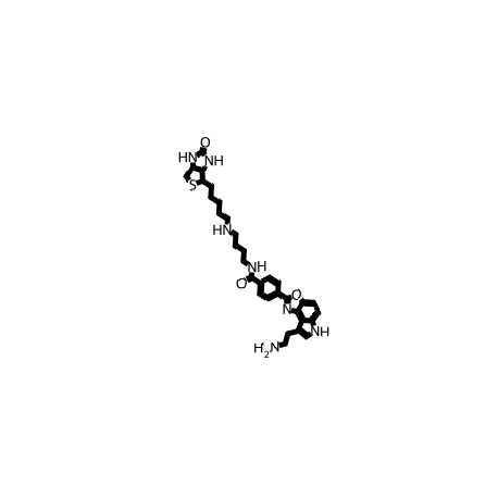 NCCc1c[nH]c2ccc3oc(-c4ccc(C(=O)NCCCCNCCCCCC5SCC6NC(=O)NC65)cc4)nc3c12